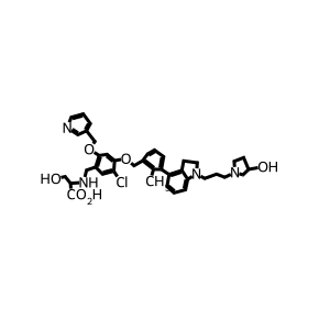 Cc1c(COc2cc(OCc3cccnc3)c(CNC(CO)C(=O)O)cc2Cl)cccc1-c1cccc2c1CCN2CCCN1CCC(O)C1